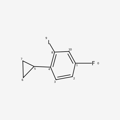 Fc1ccc(C2CC2)c(I)c1